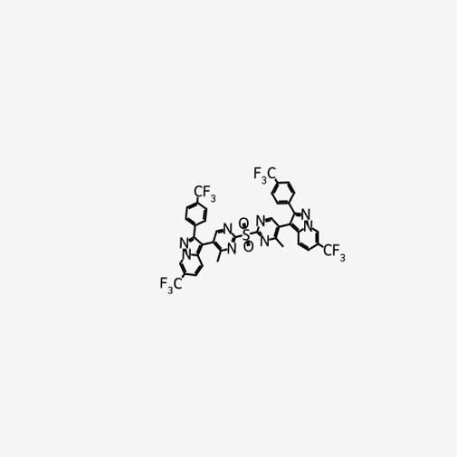 Cc1nc(S(=O)(=O)c2ncc(-c3c(-c4ccc(C(F)(F)F)cc4)nn4cc(C(F)(F)F)ccc34)c(C)n2)ncc1-c1c(-c2ccc(C(F)(F)F)cc2)nn2cc(C(F)(F)F)ccc12